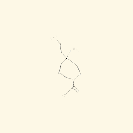 COCCC1(N)CCN(C(N)=O)CC1